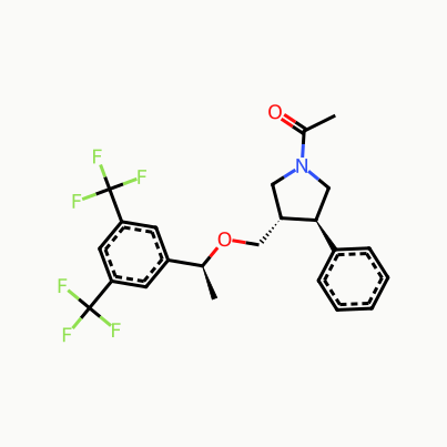 CC(=O)N1C[C@@H](CO[C@@H](C)c2cc(C(F)(F)F)cc(C(F)(F)F)c2)[C@H](c2ccccc2)C1